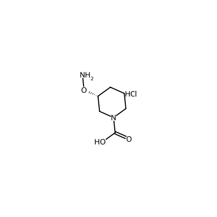 Cl.NO[C@@H]1CCCN(C(=O)O)C1